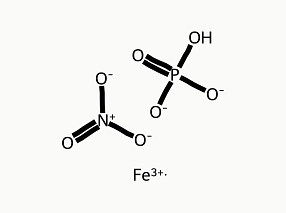 O=P([O-])([O-])O.O=[N+]([O-])[O-].[Fe+3]